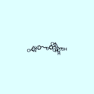 Cc1cc(OCCCC2CCN(c3ncc(Cl)cn3)CC2)cc(C)c1C(=O)NCC(O)CO